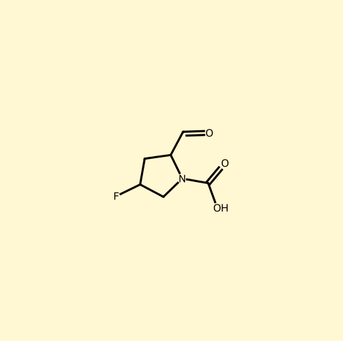 O=CC1CC(F)CN1C(=O)O